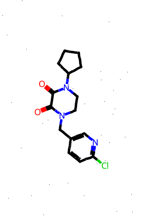 O=C1C(=O)N(C2CCCC2)CCN1Cc1ccc(Cl)nc1